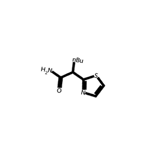 CCCCC(C(N)=O)c1nccs1